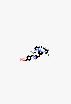 Cc1ccc(C)n1-c1cc(Cc2cnn(Cc3ccc(CO)cc3)c2)cc(-n2c(C)ccc2C)n1